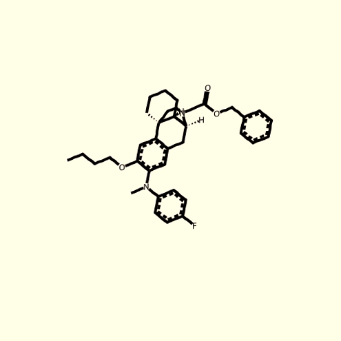 CCCCOc1cc2c(cc1N(C)c1ccc(F)cc1)C[C@H]1[C@H]3CCCC[C@@]23CCN1C(=O)OCc1ccccc1